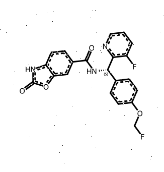 O=C(N[C@@H](c1ccc(OCF)cc1)c1ncccc1F)c1ccc2[nH]c(=O)oc2c1